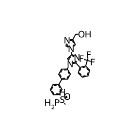 C[SH](=O)(P)c1cccc(-c2ccc(-n3cc(-n4cnc(CO)c4)nc3-c3ccccc3C(F)(F)F)cc2)c1